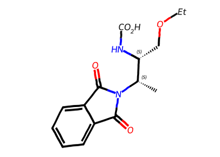 CCOC[C@@H](NC(=O)O)[C@H](C)N1C(=O)c2ccccc2C1=O